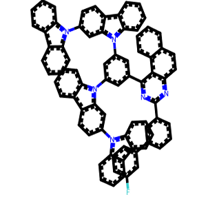 Fc1cccc(-c2cccc(-c3nc(-c4cc(-n5c6ccccc6c6ccc(-n7c8ccccc8c8ccccc87)cc65)cc(-n5c6ccccc6c6ccc(-n7c8ccccc8c8ccccc87)cc65)c4)c4c(ccc5ccccc54)n3)c2)c1